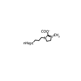 CCCCCCCCCCN1CC[N+](C)=C1C(=O)[O-]